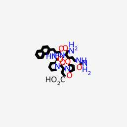 NC(=O)NCCCC(NC(=O)C(Cc1ccc2ccccc2c1)NC(=O)[C@@H]1CCCCN1C(=O)C(CCC(=O)O)N1C(=O)C=CC1=O)C(N)=O